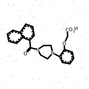 O=C(O)COc1ccccc1N1CCN(C(=O)c2cccc3ccccc23)CC1